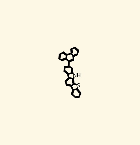 c1ccc2c(c1)cc(-c1ccc3c(c1)[nH]c1c3ccc3c4ccccc4sc31)c1ccccc12